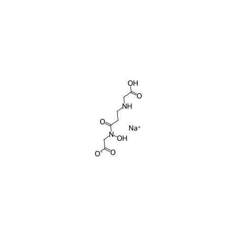 O=C([O-])CN(O)C(=O)CCNCC(=O)O.[Na+]